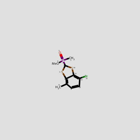 COP(C)(=O)C1Sc2c(C)ccc(Br)c2S1